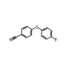 N#Cc1ccc(Sc2ccc(F)cc2)cc1